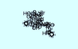 CC(C)C[C@H](NC(=O)[C@@H]1CCC(=O)N1)C(=O)N[C@H](C(=O)N[C@@H](Cc1ccccc1)C(=O)N[C@H](C(=O)N1CCC[C@H]1C(=O)NCC(=O)N[C@@H](Cc1c[nH]c2ccccc12)C(N)=O)[C@@H](C)O)[C@@H](C)O